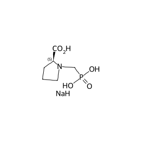 O=C(O)[C@@H]1CCCN1CP(=O)(O)O.[NaH]